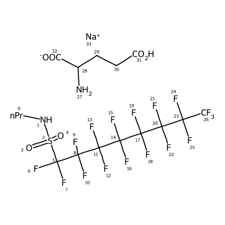 CCCNS(=O)(=O)C(F)(F)C(F)(F)C(F)(F)C(F)(F)C(F)(F)C(F)(F)C(F)(F)C(F)(F)F.NC(CCC(=O)O)C(=O)[O-].[Na+]